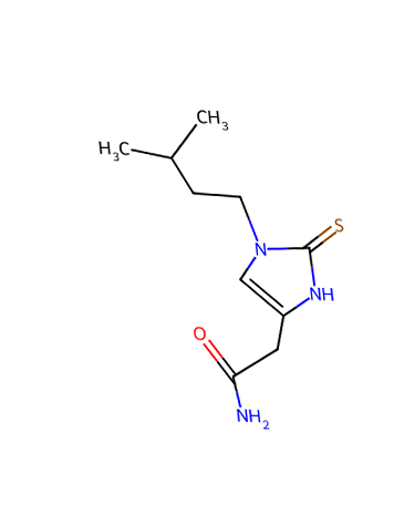 CC(C)CCn1cc(CC(N)=O)[nH]c1=S